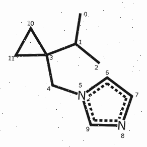 CC(C)C1(Cn2ccnc2)CC1